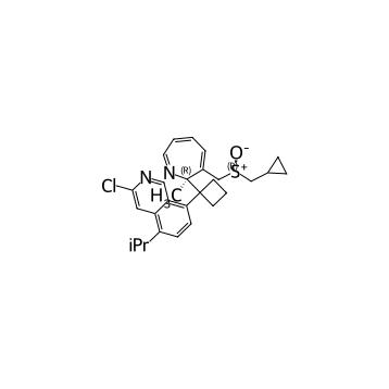 CC(C)c1ccc(C2([C@@]3(C)N=CC=CC=C3C[S@@+]([O-])CC3CC3)CCC2)c2cnc(Cl)cc12